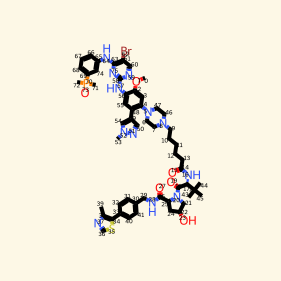 COc1cc(N2CCN(CCCCCC(=O)N[C@H](C(=O)N3CC(O)CC3C(=O)NCc3ccc(-c4scnc4C)cc3)C(C)(C)C)CC2)c(-c2cnn(C)c2)cc1Nc1ncc(Br)c(Nc2cccc(P(C)(C)=O)c2)n1